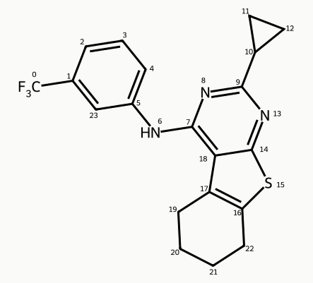 FC(F)(F)c1cccc(Nc2nc(C3CC3)nc3sc4c(c23)CCCC4)c1